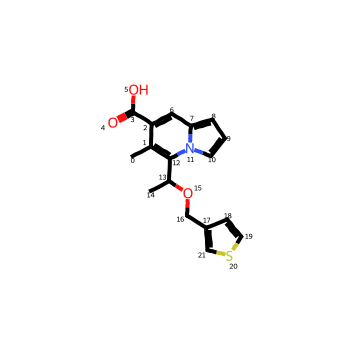 Cc1c(C(=O)O)cc2cccn2c1C(C)OCc1ccsc1